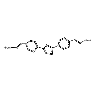 CCCCC/N=N/c1ccc(-c2ccc(-c3ccc(/N=N/CCCCC)cc3)o2)cc1